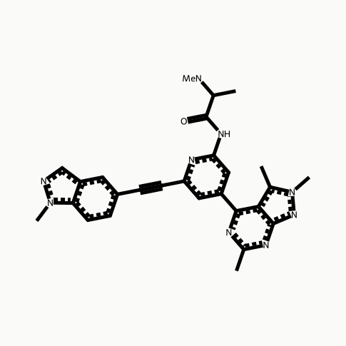 CNC(C)C(=O)Nc1cc(-c2nc(C)nc3nn(C)c(C)c23)cc(C#Cc2ccc3c(cnn3C)c2)n1